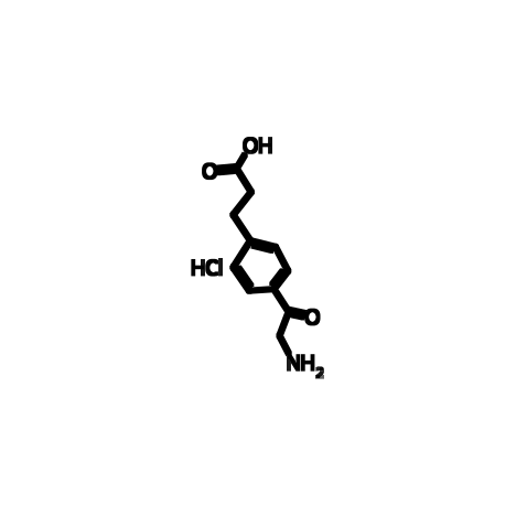 Cl.NCC(=O)c1ccc(CCC(=O)O)cc1